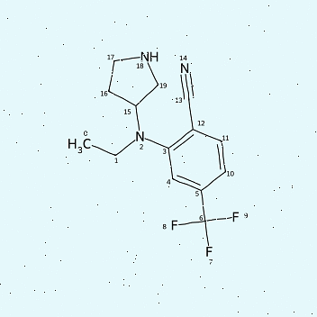 CCN(c1cc(C(F)(F)F)ccc1C#N)C1CCNC1